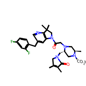 CC1=C(C)C(=O)N(C[C@H]2CN(C(=O)O)[C@H](C)CN2CC(=O)N2CC(C)(C)c3ncc(Cc4ccc(F)cc4F)cc32)C1